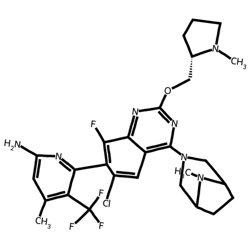 Cc1cc(N)nc(-c2c(Cl)cc3c(N4CC5CCC(C4)N5C)nc(OC[C@@H]4CCCN4C)nc3c2F)c1C(F)(F)F